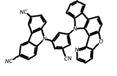 N#Cc1cc(-n2c3ccc(C#N)cc3c3cc(C#N)ccc32)cc(-n2c3ccccc3c3ccc4oc5cccnc5c4c32)c1